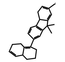 CC1(C)C2=CC(I)=CCC2c2ccc(C3=C4CCC=CC4CCC3)cc21